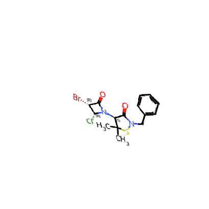 CC1(C)SN(Cc2ccccc2)C(=O)[C@@H]1N1C(=O)[C@@H](Br)[C@H]1Cl